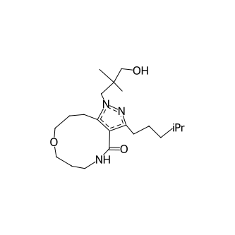 CC(C)CCCc1nn(CC(C)(C)CO)c2c1C(=O)NCCCOCCC2